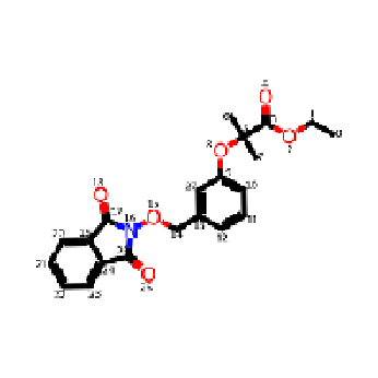 CCOC(=O)C(C)(C)Oc1cccc(CON2C(=O)c3ccccc3C2=O)c1